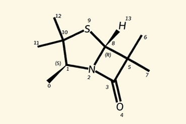 C[C@@H]1N2C(=O)C(C)(C)[C@H]2SC1(C)C